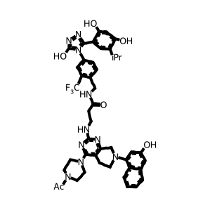 CC(=O)N1CCN(c2nc(NCCC(=O)NCc3ccc(-n4c(O)nnc4-c4cc(C(C)C)c(O)cc4O)cc3C(F)(F)F)nc3c2CCN(c2cc(O)cc4ccccc24)C3)CC1